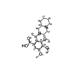 COc1cc(C(=O)O)c(C(C)N2CCN3CCCCC3C2)c(OC)c1OC